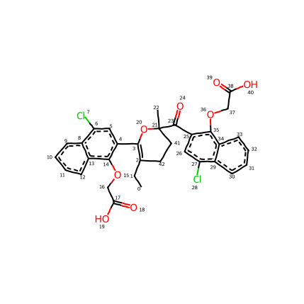 CCC1=C(c2cc(Cl)c3ccccc3c2OCC(=O)O)OC(C)(C(=O)c2cc(Cl)c3ccccc3c2OCC(=O)O)CC1